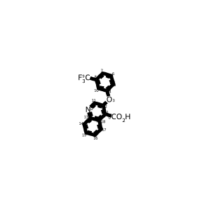 O=C(O)c1c(Oc2cccc(C(F)(F)F)c2)cnc2ccccc12